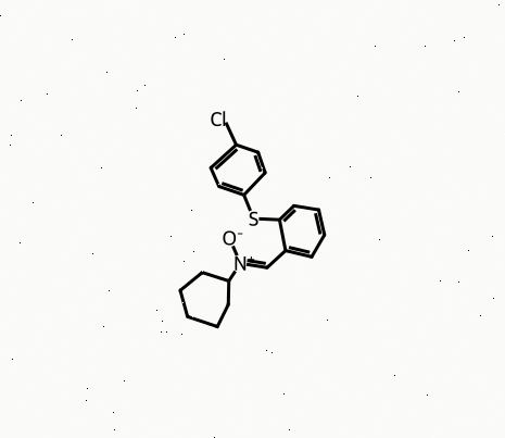 [O-][N+](=Cc1ccccc1Sc1ccc(Cl)cc1)C1CCCCC1